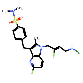 Cc1c(Cc2ccc(S(=O)(=O)N(C)C)cc2)c2nc(F)ccc2n1C/C(F)=C/CNCl